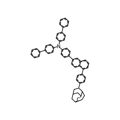 c1ccc(-c2ccc(N(c3ccc(-c4ccccc4)cc3)c3ccc(-c4ccc5c(-c6ccc(C7CC8CC9CCC7C(C9)C8)cc6)cccc5c4)cc3)cc2)cc1